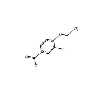 O=C(Cl)c1ccc(OCC(F)(F)F)c(Cl)c1